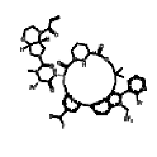 C=CC(=O)N1CCO[C@H]2CN(C(=O)N(C)[C@H](C(=O)N[C@H]3Cc4cc(C(F)F)cc(n4)-c4ccc5c(c4)c(c(-c4cccnc4C(C)C)n5CC(F)(F)F)CC(C)(C)COC(=O)[C@@H]4CCCN(N4)C3=O)C(C)C)C[C@H]21